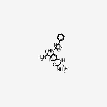 CC(C)C[C@@H](Nc1cnc(C(N)=O)c(Nc2nc(-c3ccccc3)no2)c1)C(N)=O